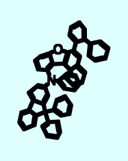 c1ccc(-c2ccccc2-c2cc3ccccc3c3c2oc2cccc(N(c4ccccc4)c4ccc5c(c4)C(c4ccccc4)(c4ccccc4)c4ccccc4-5)c23)cc1